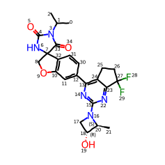 CC(C)N1C(=O)NC2(COc3cc(-c4nc(N5C[C@@H](O)[C@@H]5C)nc5c4CCC5(F)F)ccc32)C1=O